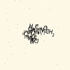 C=CC(=O)N1CCN(c2nc(=O)n(-c3ccccc3C(C)C)c3cc(Br)c(Cl)cc23)[C@@H](C)C1